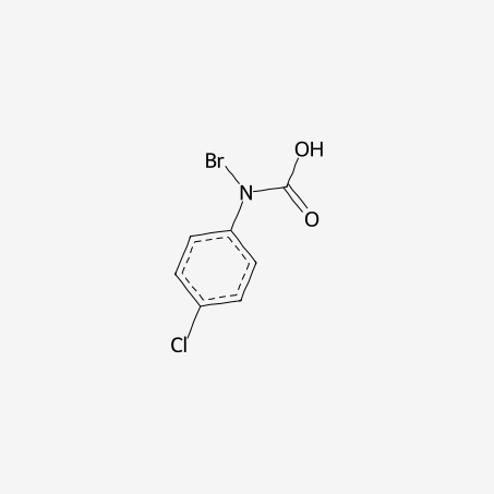 O=C(O)N(Br)c1ccc(Cl)cc1